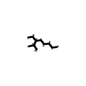 CCCCC[C](CC)C(C)C